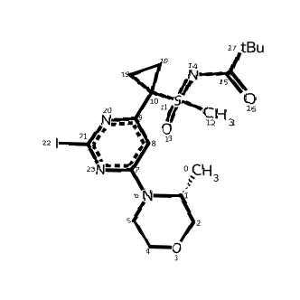 C[C@@H]1COCCN1c1cc(C2(S(C)(=O)=NC(=O)C(C)(C)C)CC2)nc(I)n1